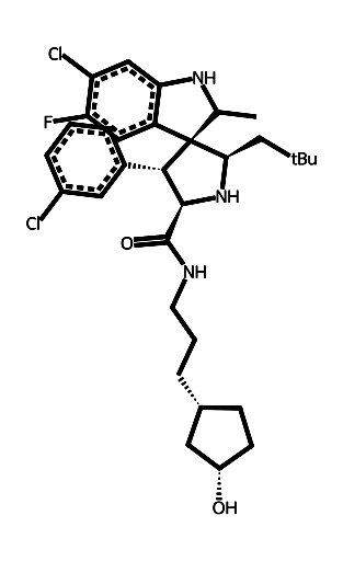 CC1Nc2cc(Cl)c(F)cc2[C@@]12[C@@H](CC(C)(C)C)N[C@@H](C(=O)NCCC[C@@H]1CC[C@H](O)C1)[C@@H]2c1cccc(Cl)c1